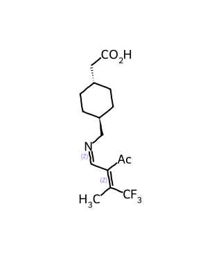 CC(=O)C(/C=N\C[C@H]1CC[C@H](CC(=O)O)CC1)=C(/C)C(F)(F)F